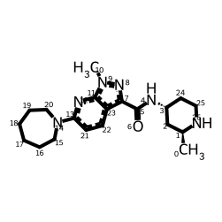 C[C@H]1C[C@H](NC(=O)c2nn(C)c3nc(N4CCCCCC4)ccc23)CCN1